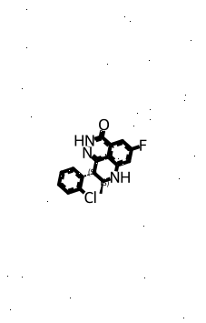 C[C@@H]1Nc2cc(F)cc3c(=O)[nH]nc(c23)[C@H]1c1ccccc1Cl